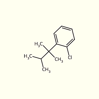 CC(C)C(C)(C)c1ccccc1Cl